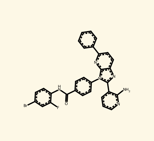 Nc1ncccc1-c1nc2ccc(-c3ccccc3)nc2n1-c1ccc(C(=O)Nc2ccc(Br)cc2F)cc1